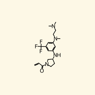 C=CC(=O)N1CC[C@H](Nc2cc(N(C)CCN(C)C)cc(C(F)(F)F)c2)C1